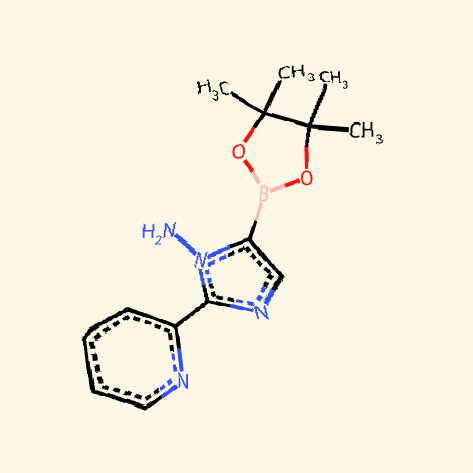 CC1(C)OB(c2cnc(-c3ccccn3)n2N)OC1(C)C